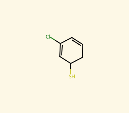 SC1C=C(Cl)C=CC1